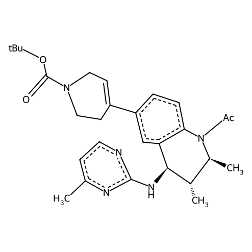 CC(=O)N1c2ccc(C3=CCN(C(=O)OC(C)(C)C)CC3)cc2[C@H](Nc2nccc(C)n2)[C@@H](C)[C@@H]1C